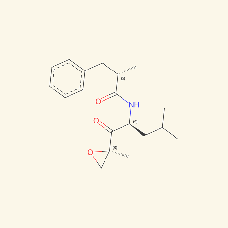 CC(C)C[C@H](NC(=O)[C@@H](C)Cc1ccccc1)C(=O)[C@@]1(C)CO1